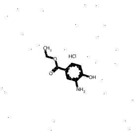 CCOC(=O)c1ccc(O)c(N)c1.Cl